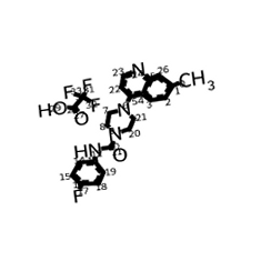 Cc1ccc2c(N3CCN(C(=O)Nc4ccc(F)cc4)CC3)ccnc2c1.O=C(O)C(F)(F)F